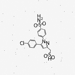 NS(=O)(=O)c1ccc(-n2nc(C[SH](=O)=O)cc2-c2ccc(Cl)cc2)cc1